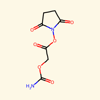 NC(=O)OCC(=O)ON1C(=O)CCC1=O